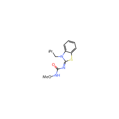 CONC(=O)N=c1sc2ccccc2n1CC(C)C